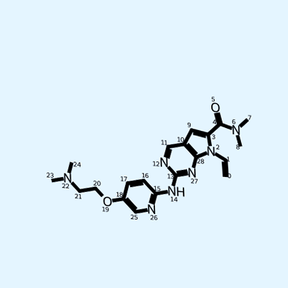 C=Cn1c(C(=O)N(C)C)cc2cnc(Nc3ccc(OCCN(C)C)cn3)nc21